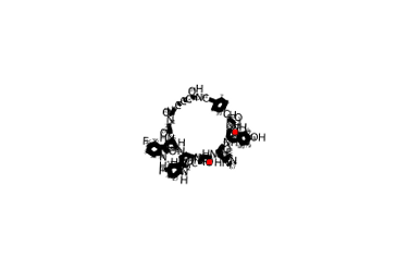 NC(=O)[C@@H]1Cc2ccc(cc2)CNC(=O)CCCCC(=O)NCC(=O)N[C@@H](Cc2c[nH]c3ccc(F)cc23)C(=O)N[C@@H](Cc2c[nH]c3ccc(F)cc23)C(=O)N[C@@H](CC(=O)O)C(=O)N[C@@H](Cc2cnc[nH]2)C(=O)N[C@@H](Cc2ccc(O)cc2)C(=O)N1